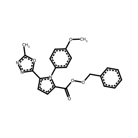 COc1ccc(-n2c(C(=O)OOCc3ccccc3)ccc2-c2nnc(C)o2)cc1